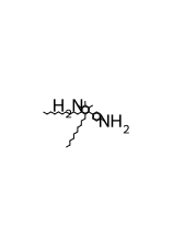 CCCCCCCCCCc1c(N)c(C)c(C)c(-c2ccc(N)cc2)c1CCCCCCCCCC